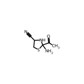 CC(=O)C1(N)NC(C#N)CS1